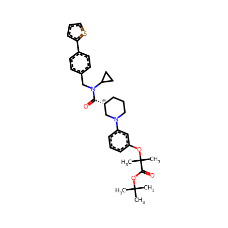 CC(C)(C)OC(=O)C(C)(C)Oc1cccc(N2CCC[C@@H](C(=O)N(Cc3ccc(-c4cccs4)cc3)C3CC3)C2)c1